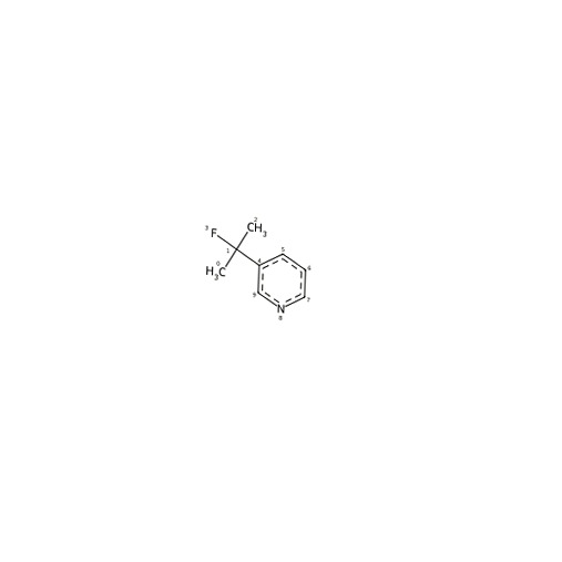 CC(C)(F)c1cccnc1